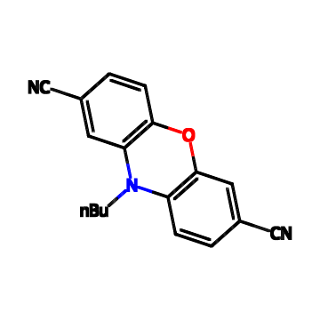 CCCCN1c2ccc(C#N)cc2Oc2ccc(C#N)cc21